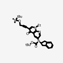 CCn1cc(C#CCO[Si](C)(C)C(C)(C)C)c(=O)c2cc(N(C(=O)OC(C)(C)C)C3Cc4ccccc4C3)cnc21